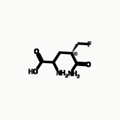 NC(=O)[C@@H](CF)CC(N)C(=O)O